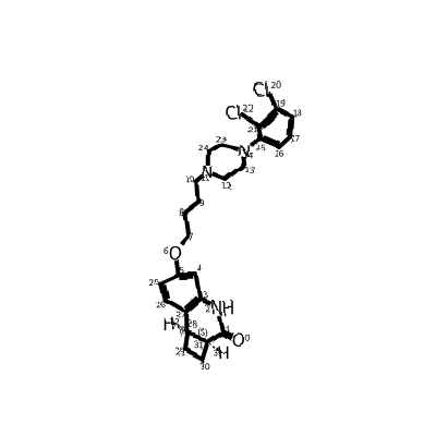 O=C1Nc2cc(OCCCCN3CCN(c4cccc(Cl)c4Cl)CC3)ccc2[C@@H]2CC[C@H]12